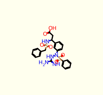 N=C(N)NN(c1cccc(C(CC(=O)O)NS(=O)(=O)Cc2ccccc2)c1)S(=O)(=O)c1ccccc1